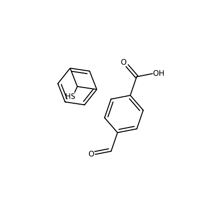 O=Cc1ccc(C(=O)O)cc1.SC1c2cccc1c2